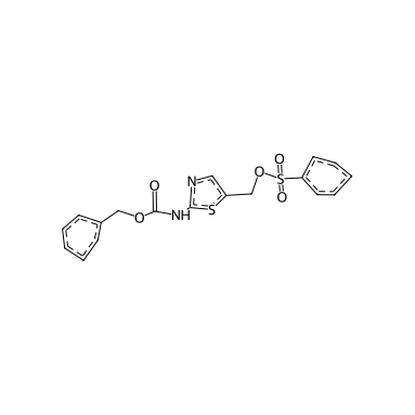 O=C(Nc1ncc(COS(=O)(=O)c2ccccc2)s1)OCc1ccccc1